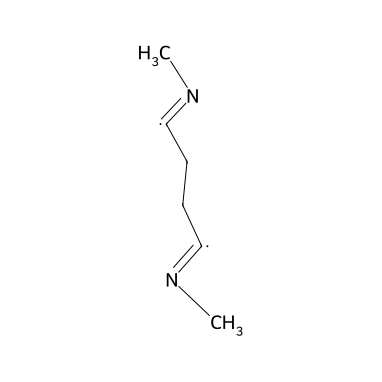 C/N=[C]/CC/[C]=N/C